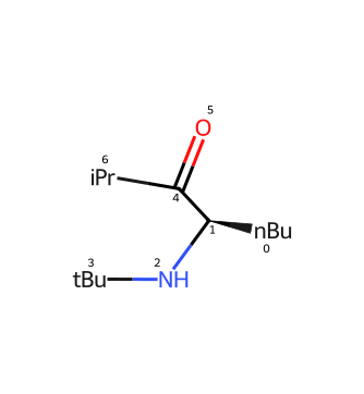 CCCC[C@@H](NC(C)(C)C)C(=O)C(C)C